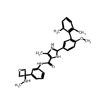 CNC1(c2cccc(NC(=O)C3=C(C)NC(c4ccc(OC)c(-c5c(C)cccc5C)c4)N3)c2)COC1